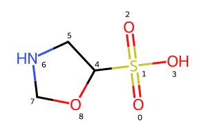 O=S(=O)(O)C1CNCO1